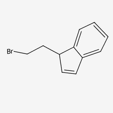 BrCCC1C=Cc2ccccc21